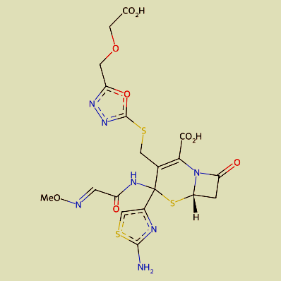 CON=CC(=O)NC1(c2csc(N)n2)S[C@H]2CC(=O)N2C(C(=O)O)=C1CSc1nnc(COCC(=O)O)o1